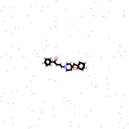 O=C(CCCN1CCC(O)(Cc2ccccc2)CC1)c1ccccc1